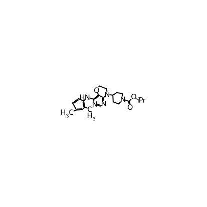 Cc1ccc(Nc2ncnc3c2OCCN3C2CCN(C(=O)OC(C)C)CC2)c(C)c1